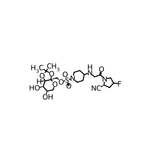 CC1(C)O[C@H]2[C@H](O)[C@H](O)CO[C@@]2(COS(=O)(=O)N2CCC(NCC(=O)N3CC(F)C[C@H]3C#N)CC2)O1